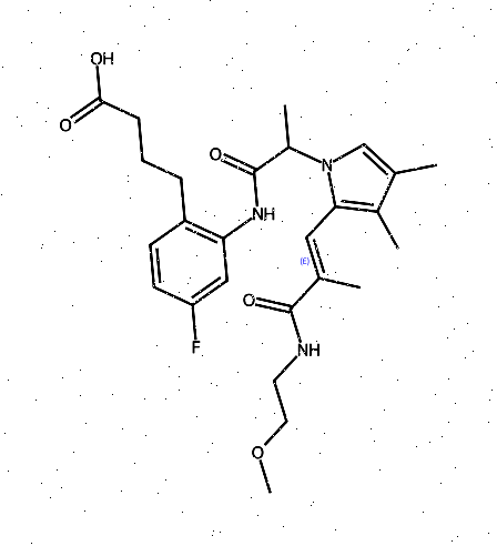 COCCNC(=O)/C(C)=C/c1c(C)c(C)cn1C(C)C(=O)Nc1cc(F)ccc1CCCC(=O)O